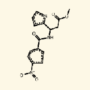 COC(=O)CC(NC(=O)c1ccc([N+](=O)[O-])cc1)c1cccs1